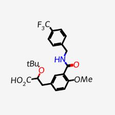 COc1ccc(CC(OC(C)(C)C)C(=O)O)cc1C(=O)NCc1ccc(C(F)(F)F)cc1